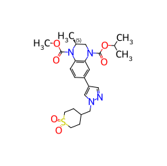 COC(=O)N1c2ccc(-c3cnn(CC4CCS(=O)(=O)CC4)c3)cc2N(C(=O)OC(C)C)C[C@@H]1C